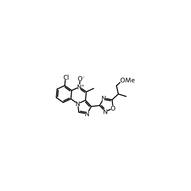 COCC(C)c1nc(-c2ncn3c2c(C)[n+]([O-])c2c(Cl)cccc23)no1